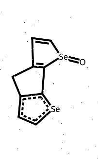 O=[Se]1C=CC2=C1c1[se]ccc1C2